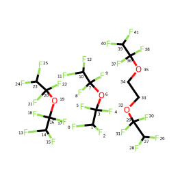 FC(F)C(F)(F)OC(F)(F)C(F)F.FC(F)C(F)(F)OC(F)(F)C(F)F.FC(F)C(F)(F)OCCOC(F)(F)C(F)F